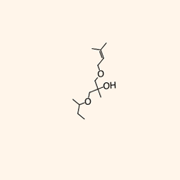 CCC(C)OCC(C)(O)COCC=C(C)C